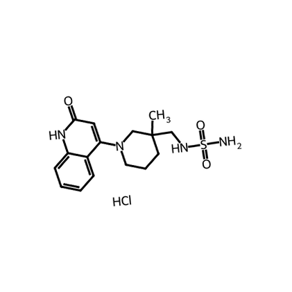 CC1(CNS(N)(=O)=O)CCCN(c2cc(=O)[nH]c3ccccc23)C1.Cl